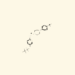 CC(C)(C)[Si](C)(C)Oc1ccc(NS(=O)(=O)N2CCN(c3ccc(C(F)(F)F)cc3)CC2)nc1